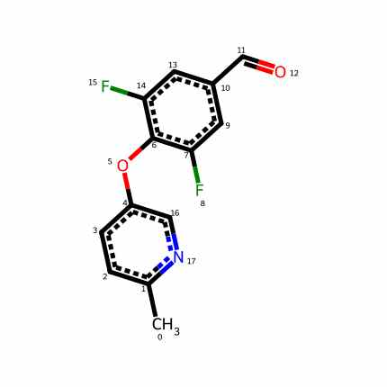 Cc1ccc(Oc2c(F)cc(C=O)cc2F)cn1